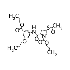 C=CCOC(=O)c1cc(NC(=O)[C@@H]2C[C@H](SC(C)=O)CN2C(=O)OCC=C)cc(OCC=C)c1